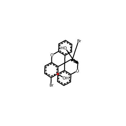 Oc1c(Br)ccc2c1C1(c3ccccc3O2)c2ccccc2Oc2ccc(Br)c(O)c21